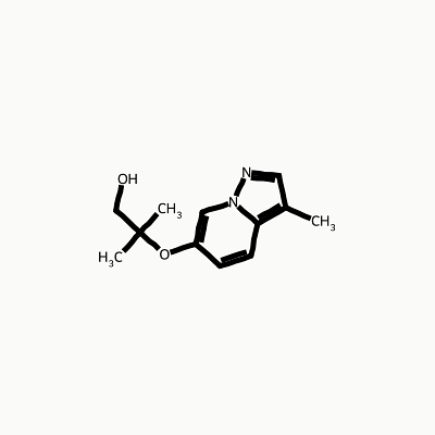 Cc1cnn2cc(OC(C)(C)CO)ccc12